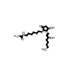 CCCCC[C@H](O)/C=C/[C@H]1[C@H](O)CC(=O)[C@@H]1CCCCCCCNC(C)=O